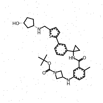 Cc1ccc(NC2CN(C(=O)OC(C)(C)C)C2)cc1C(=O)NC1(c2cccc(-c3ccc(CN[C@H]4CC[C@@H](O)C4)s3)c2)CC1